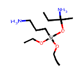 CCO[Si](CCCN)(OCC)OC(C)(N)CC